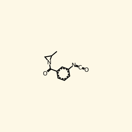 CC1CN1C(=O)c1cccc(N=C=O)c1